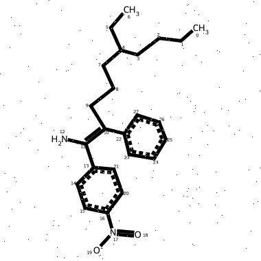 CCCCC(CC)CCCC(=C(N)c1ccc([N+](=O)[O-])cc1)c1ccccc1